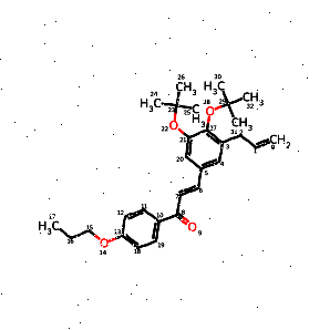 C=CCc1cc(C=CC(=O)c2ccc(OCCC)cc2)cc(OC(C)(C)C)c1OC(C)(C)C